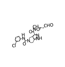 CN(OCCC=O)C(=O)c1n[nH]c2c1CN(C(=O)Nc1cccc(Cl)c1)CC2